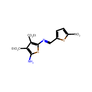 CCOC(=O)c1c(N)sc(N=Cc2ccc([N+](=O)[O-])s2)c1C(=O)OCC